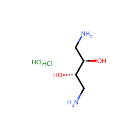 Cl.Cl.NC[C@@H](O)[C@@H](O)CN